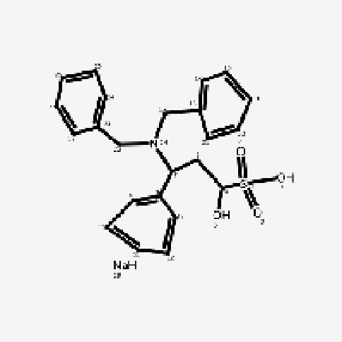 O=S(=O)(O)C(O)CC(c1ccccc1)N(Cc1ccccc1)Cc1ccccc1.[NaH]